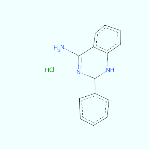 Cl.NC1=NC(c2ccccc2)Nc2ccccc21